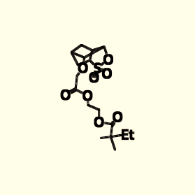 CCC(C)(C)C(=O)OCCOC(=O)COC1C2CC3C1OS(=O)(=O)C3C2